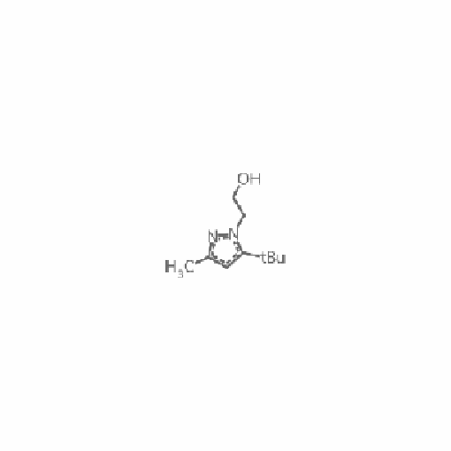 Cc1cc(C(C)(C)C)n(CCO)n1